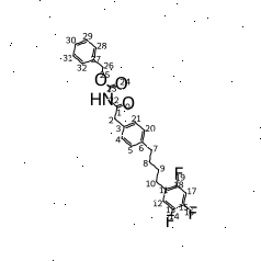 O=C(Cc1ccc(CCCCc2cc(F)c(F)cc2F)cc1)NC(=O)OCc1ccccc1